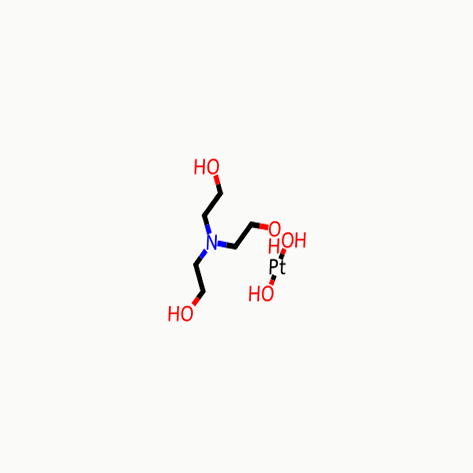 OCCN(CCO)CCO.[OH][Pt][OH]